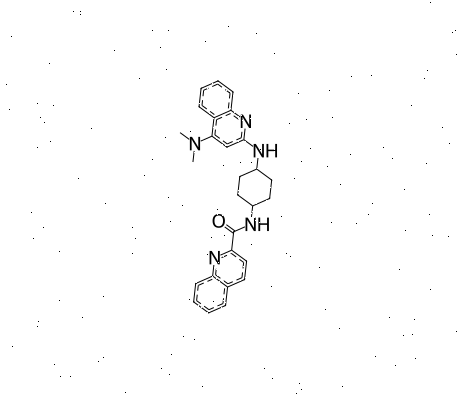 CN(C)c1cc(NC2CCC(NC(=O)c3ccc4ccccc4n3)CC2)nc2ccccc12